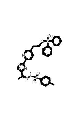 C/C(=N/NS(=O)(=O)c1ccc(C)cc1)c1csc(-c2ccc(CCO[Si](c3ccccc3)(c3ccccc3)C(C)(C)C)cn2)n1